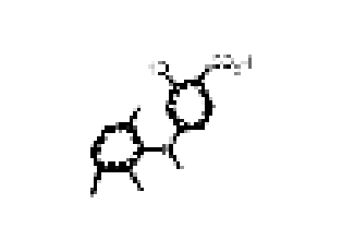 Cc1ccc(C)c(N(C)c2ccc(C(=O)O)c(O)c2)c1C